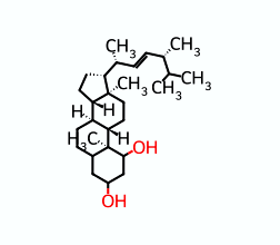 CC(C)[C@@H](C)C=C[C@@H](C)[C@H]1CC[C@H]2[C@@H]3CCC4CC(O)CC(O)[C@]4(C)[C@H]3CC[C@]12C